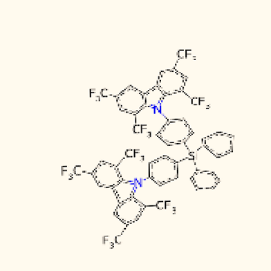 FC(F)(F)c1cc(C(F)(F)F)c2c(c1)c1cc(C(F)(F)F)cc(C(F)(F)F)c1n2-c1ccc([Si](c2ccccc2)(c2ccccc2)c2ccc(-n3c4c(C(F)(F)F)cc(C(F)(F)F)cc4c4cc(C(F)(F)F)cc(C(F)(F)F)c43)cc2)cc1